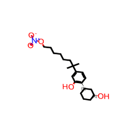 CC(C)(CCCCCCO[N+](=O)[O-])c1ccc([C@H]2CCC[C@@H](O)C2)c(O)c1